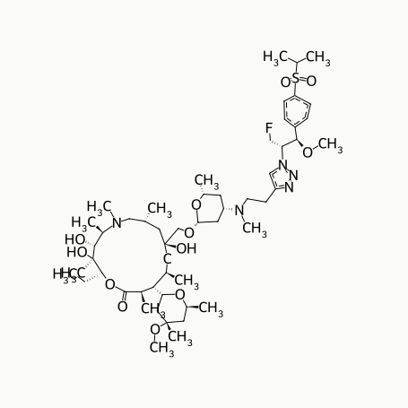 CC[C@H]1OC(=O)[C@H](C)[C@@H](C2C[C@@](C)(OC)C[C@H](C)O2)[C@H](C)C[C@@](O)(CO[C@H]2C[C@@H](N(C)CCc3cn([C@H](CF)[C@H](OC)c4ccc(S(=O)(=O)C(C)C)cc4)nn3)C[C@@H](C)O2)C[C@@H](C)CN(C)[C@H](C)[C@@H](O)[C@]1(C)O